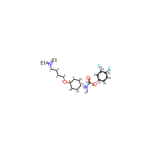 CCN(CC)CCCCO[C@H]1CC[C@H](N(C)C(=O)Oc2ccc(F)c(F)c2)CC1